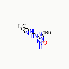 CC(C)(C)c1cn2c(=O)[nH]nc2c(NCCNc2cc(C(F)(F)F)ccn2)n1